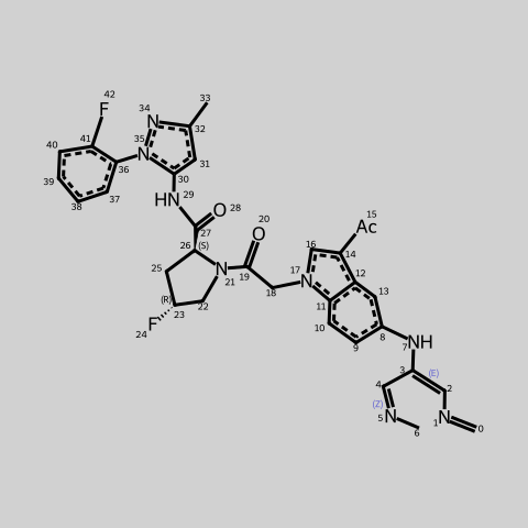 C=N/C=C(\C=N/C)Nc1ccc2c(c1)c(C(C)=O)cn2CC(=O)N1C[C@H](F)C[C@H]1C(=O)Nc1cc(C)nn1-c1ccccc1F